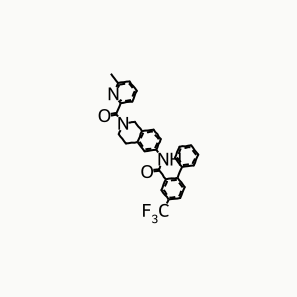 Cc1cccc(C(=O)N2CCc3cc(NC(=O)c4cc(C(F)(F)F)ccc4-c4ccccc4)ccc3C2)n1